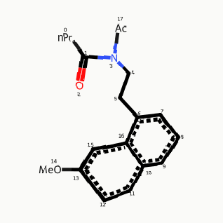 CCCC(=O)N(CCc1cccc2ccc(OC)cc12)C(C)=O